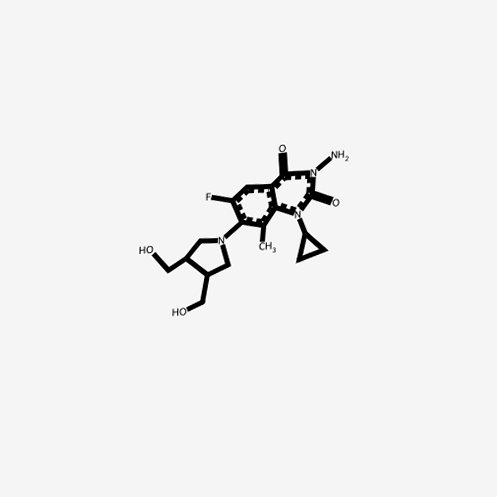 Cc1c(N2CC(CO)C(CO)C2)c(F)cc2c(=O)n(N)c(=O)n(C3CC3)c12